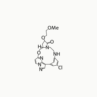 COCCO[C@@H]1C[C@H]2COc3ccn4ncc(c4n3)-c3cc(Cl)cc(c3)NCCN2C1=O